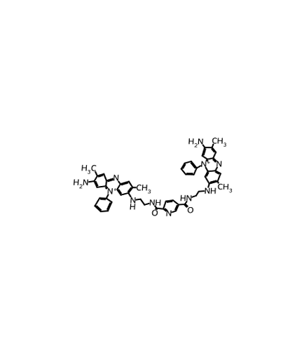 Cc1cc2nc3cc(C)c(NCCNC(=O)c4ccc(C(=O)NCCNc5cc6c(cc5C)nc5cc(C)c(N)cc5[n+]6-c5ccccc5)nc4)cc3[n+](-c3ccccc3)c2cc1N